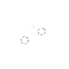 Cc1cccc(C(C)N(C)Cc2ccccc2)n1